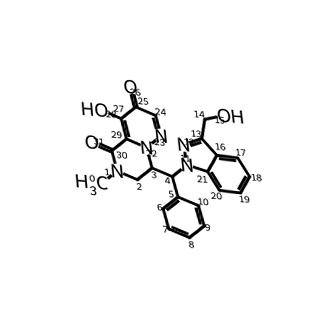 CN1CC(C(c2ccccc2)n2nc(CO)c3ccccc32)n2ncc(=O)c(O)c2C1=O